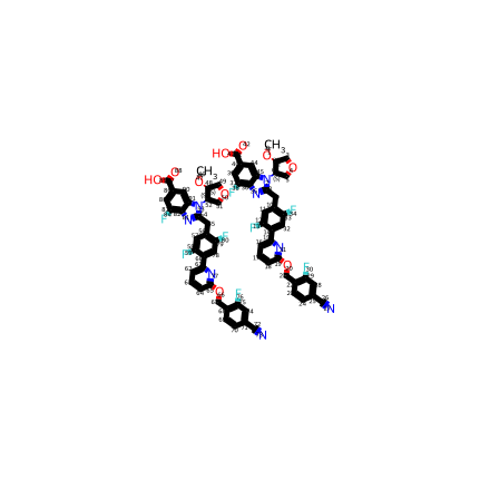 CO[C@@H]1COC[C@@H]1n1c(Cc2cc(F)c(-c3cccc(OCc4ccc(C#N)cc4F)n3)cc2F)nc2c(F)cc(C(=O)O)cc21.CO[C@@H]1COC[C@@H]1n1c(Cc2cc(F)c(-c3cccc(OCc4ccc(C#N)cc4F)n3)cc2F)nc2c(F)cc(C(=O)O)cc21